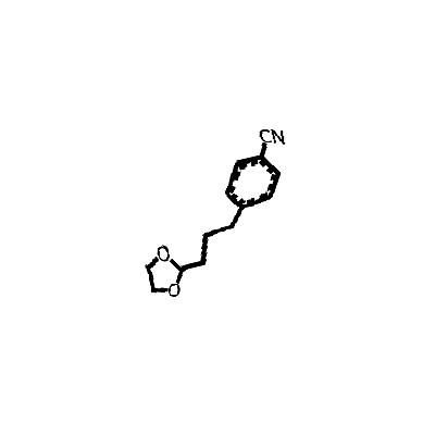 N#Cc1ccc(CCCC2OCCO2)cc1